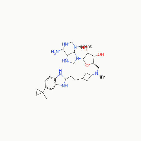 CCCCCN1CNC(N)C2NCN([C@@H]3O[C@H](CN(C(C)C)C4CC(CCC5Nc6ccc(C7(C)CC7)cc6N5)C4)[C@@H](O)[C@H]3O)C21